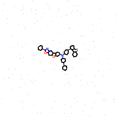 c1ccc(-c2ccc(N(c3ccc(-c4cccc5sc6ccccc6c45)cc3)c3ccc4c(c3)oc3cc5oc(-c6ccccc6)nc5cc34)cc2)cc1